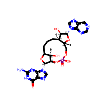 Nc1nc2c(ncn2[C@@H]2OC3CCC[C@H]4[C@@H](O)[C@H](n5cnc6cncnc65)O[C@@H]4COP(=O)(O)O[C@@H]2[C@@H]3O)c(=O)[nH]1